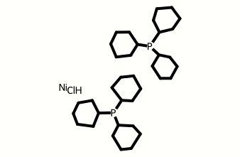 C1CCC(P(C2CCCCC2)C2CCCCC2)CC1.C1CCC(P(C2CCCCC2)C2CCCCC2)CC1.Cl.[Ni]